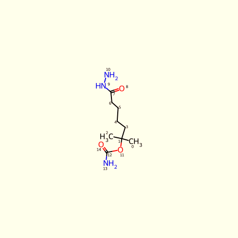 CC(C)(CCCCC(=O)NN)OC(N)=O